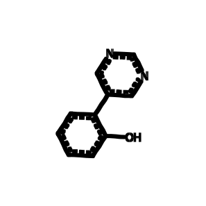 Oc1ccccc1-c1cncnc1